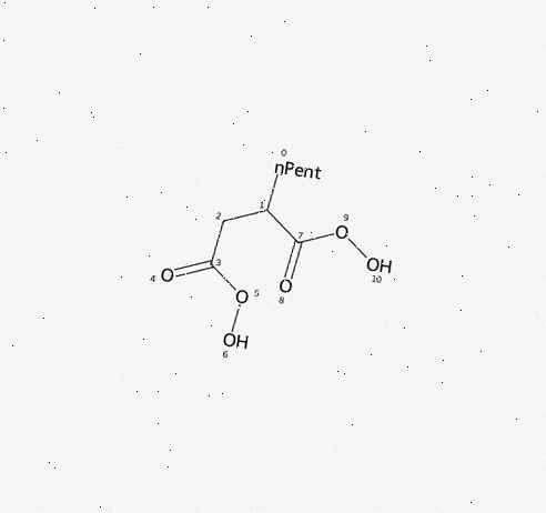 CCCCCC(CC(=O)OO)C(=O)OO